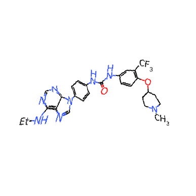 CCNc1ncnc2c1ncn2-c1ccc(NC(=O)Nc2ccc(OC3CCN(C)CC3)c(C(F)(F)F)c2)cc1